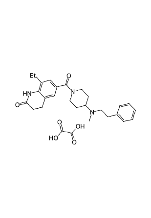 CCc1cc(C(=O)N2CCC(N(C)CCc3ccccc3)CC2)cc2c1NC(=O)CC2.O=C(O)C(=O)O